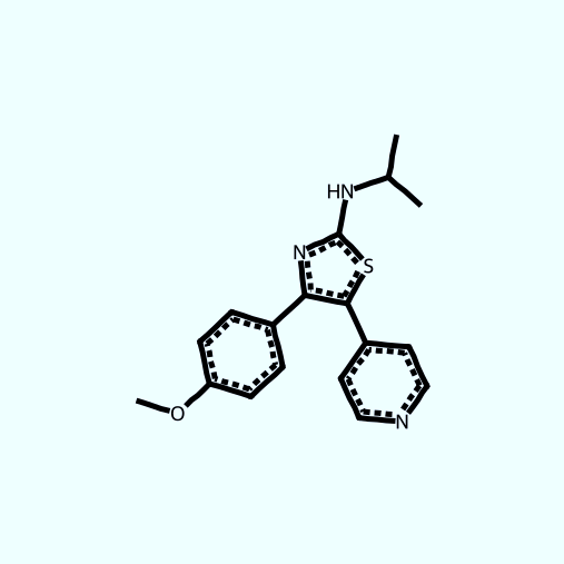 COc1ccc(-c2nc(NC(C)C)sc2-c2ccncc2)cc1